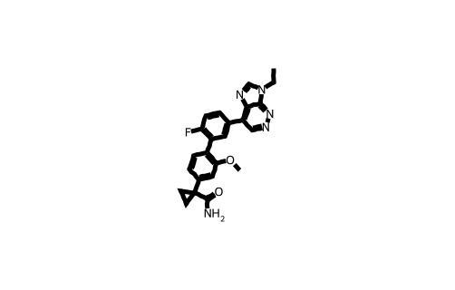 CCn1cnc2c(-c3ccc(F)c(-c4ccc(C5(C(N)=O)CC5)cc4OC)c3)cnnc21